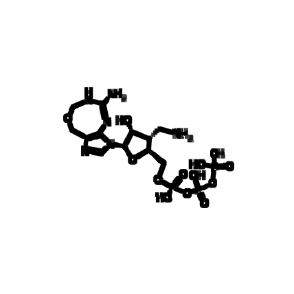 NC[C@H]1[C@@H](O)[C@H](n2cnc3c2/N=C(/N)NCOC3)O[C@@H]1COP(=O)(O)OP(=O)(O)OP(=O)(O)O